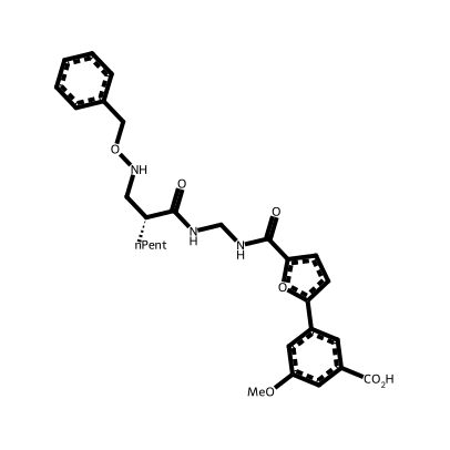 CCCCC[C@H](CNOCc1ccccc1)C(=O)NCNC(=O)c1ccc(-c2cc(OC)cc(C(=O)O)c2)o1